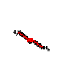 CC(C)(C)c1cc(CCCOCCOCCOCCOCCOCCN)cc(C(C)(C)C)c1OC(=O)Oc1c(C(C)(C)C)cc(CCCOCCOCCOCCOCCOCCN)cc1C(C)(C)C